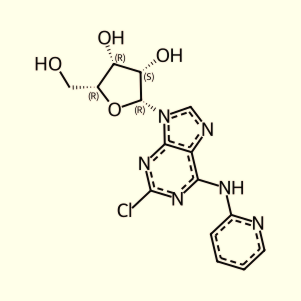 OC[C@H]1O[C@@H](n2cnc3c(Nc4ccccn4)nc(Cl)nc32)[C@@H](O)[C@H]1O